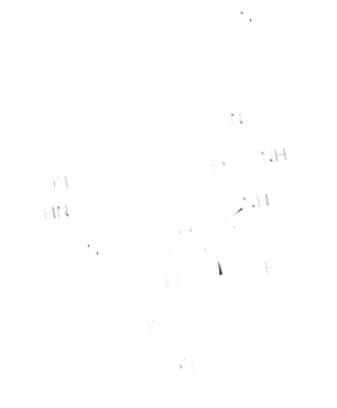 CNc1ccc(C(=O)Oc2c(C(C)=O)ccc(F)c2[C@H]2C[C@H]2NC(=O)Nc2ccc(C#N)cn2)cn1